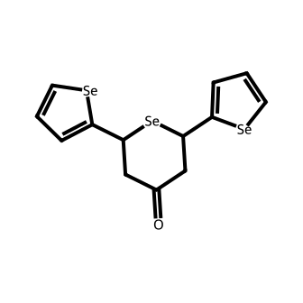 O=C1CC(c2ccc[se]2)[Se]C(c2ccc[se]2)C1